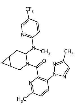 Cc1ccc(-n2ncc(C)n2)c(C(=O)N2CC3CC3CC2N(C)c2ccc(C(F)(F)F)cn2)n1